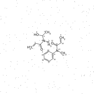 C=CC(=O)N(C)C(C)O.C=CC(=O)N(C)c1ccccc1